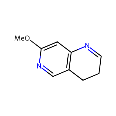 COc1cc2c(cn1)CCC=N2